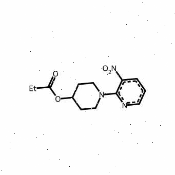 CCC(=O)OC1CCN(c2ncccc2[N+](=O)[O-])CC1